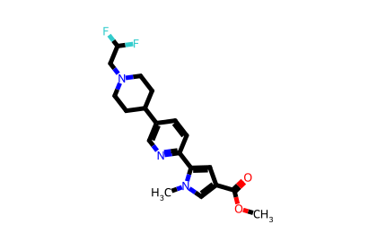 COC(=O)c1cc(-c2ccc(C3CCN(CC(F)F)CC3)cn2)n(C)c1